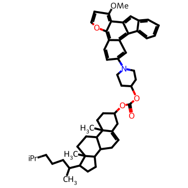 COc1ccoc2c3ccc(N4CCC(OC(=O)OC5CCC6(C)C(=CCC7C6CCC6(C)C(C(C)CCCC(C)C)CCC76)C5)CC4)cc3c3c4ccccc4cc3c12